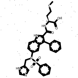 CSCC[C@H](NC(=O)c1[nH]c2ccc(N(Cc3cnc[nH]3)S(=O)(=O)c3ccccc3)cc2c1-c1ccccc1)C(=O)O